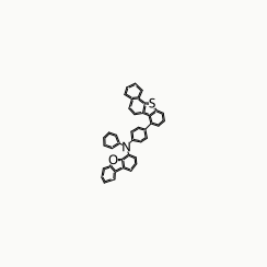 c1ccc(N(c2ccc(-c3cccc4sc5c6ccccc6ccc5c34)cc2)c2cccc3c2oc2ccccc23)cc1